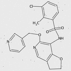 Cc1c(Cl)cccc1S(=O)(=O)Nc1c(OCc2cccnc2)ncc2c1OCC2